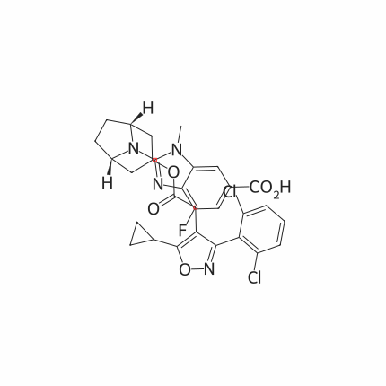 Cn1c(N2[C@@H]3CC[C@H]2CC(OC(=O)Cc2c(-c4c(Cl)cccc4Cl)noc2C2CC2)C3)nc2c(F)cc(C(=O)O)cc21